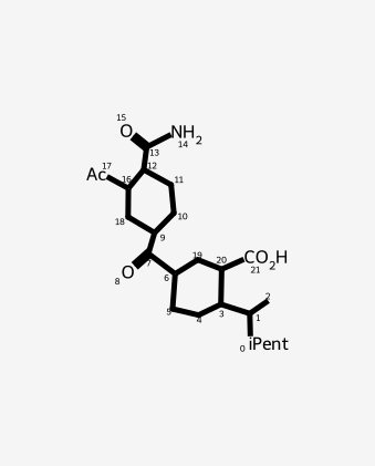 CCCC(C)C(C)C1CCC(C(=O)C2CCC(C(N)=O)C(C(C)=O)C2)CC1C(=O)O